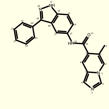 Cc1cn2cncc2cc1C(=O)Nc1ccc2[nH]nc(-c3ccccc3)c2c1